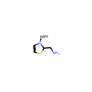 CNN1C=CSC1CN